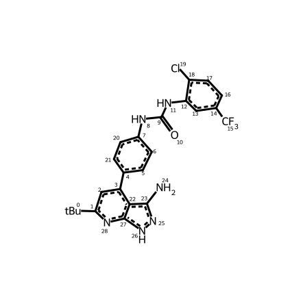 CC(C)(C)c1cc(-c2ccc(NC(=O)Nc3cc(C(F)(F)F)ccc3Cl)cc2)c2c(N)n[nH]c2n1